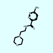 CC(C)(C)c1ccc(C(=O)NCCN2CCOCC2)nn1